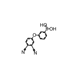 N#Cc1ccc(Oc2cccc(B(O)O)c2)cc1C#N